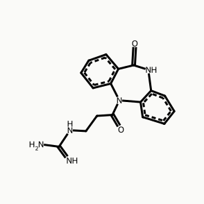 N=C(N)NCCC(=O)N1c2ccccc2NC(=O)c2ccccc21